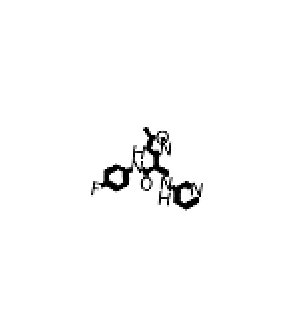 Cc1cc(C(=CNc2cccnc2)C(=O)Nc2ccc(F)cc2)no1